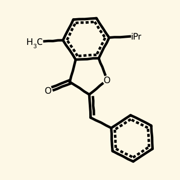 Cc1ccc(C(C)C)c2c1C(=O)/C(=C/c1ccccc1)O2